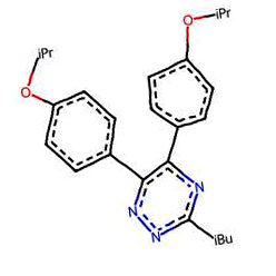 CCC(C)c1nnc(-c2ccc(OC(C)C)cc2)c(-c2ccc(OC(C)C)cc2)n1